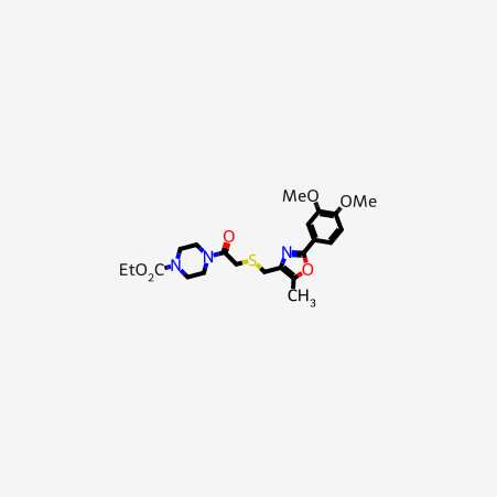 CCOC(=O)N1CCN(C(=O)CSCc2nc(-c3ccc(OC)c(OC)c3)oc2C)CC1